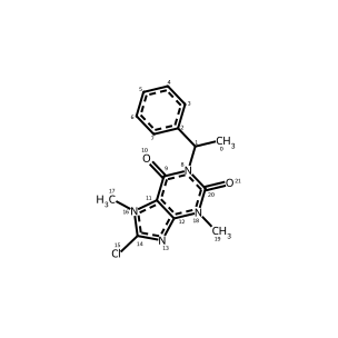 CC(c1ccccc1)n1c(=O)c2c(nc(Cl)n2C)n(C)c1=O